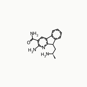 C[C@@H](N)CC1c2ccccc2-c2cc(C(N)=O)c(N)nc21